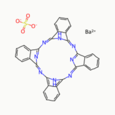 O=S(=O)([O-])[O-].[Ba+2].c1ccc2c(c1)-c1nc-2nc2[nH]c(nc3nc(nc4[nH]c(n1)c1ccccc41)-c1ccccc1-3)c1ccccc21